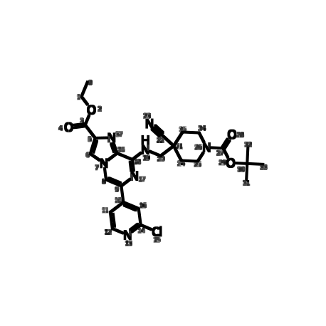 CCOC(=O)c1cn2cc(-c3ccnc(Cl)c3)nc(NCC3(C#N)CCN(C(=O)OC(C)(C)C)CC3)c2n1